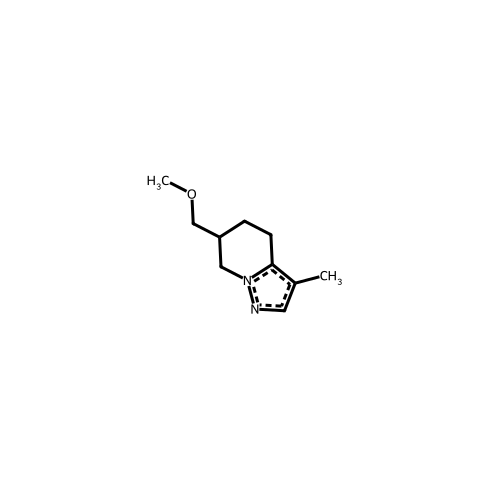 COCC1CCc2c(C)cnn2C1